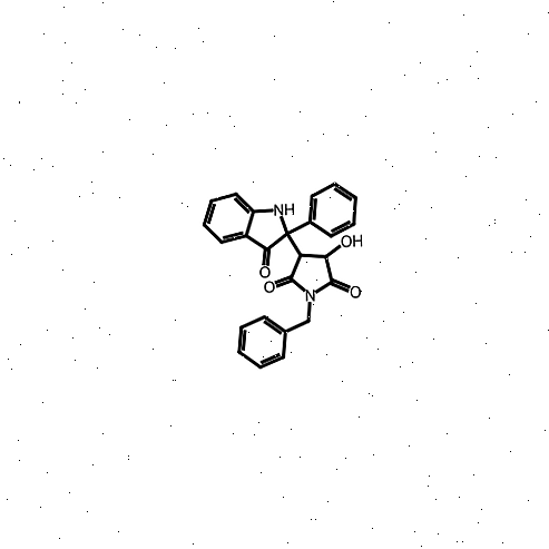 O=C1C(O)C(C2(c3ccccc3)Nc3ccccc3C2=O)C(=O)N1Cc1ccccc1